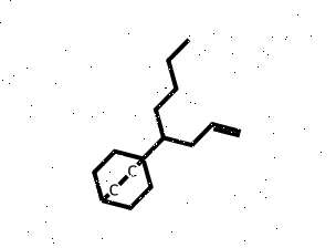 C=CCC(CCCC)C12CCC(CC1)CC2